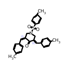 Cc1ccc(/C=C2/CN(S(=O)(=O)c3ccc(C)cc3)C/C(=C\c3ccc(C)cc3)C2=O)cc1